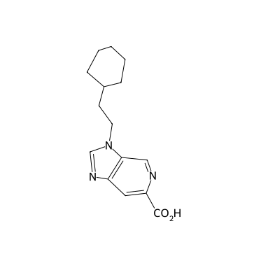 O=C(O)c1cc2ncn(CCC3CCCCC3)c2cn1